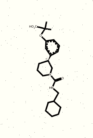 CC(C)(Oc1cccc([C@@H]2CCCN(C(=O)NCC3CCCCC3)C2)c1)C(=O)O